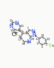 Fc1ccc(-n2ncc3c(-c4cncnc4C(F)(F)F)ccnc32)cc1